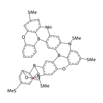 CSc1cc2c3c(c1)Oc1ccccc1B3c1cc3c(cc1N2)N(SC)c1cc(SC)cc2c1B3c1cc3c(cc1O2)N(SC)c1cc(SC)cc2c1B3c1ccccc1O2